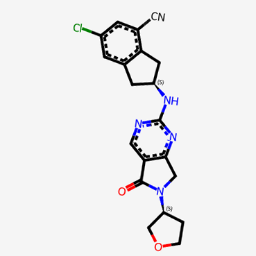 N#Cc1cc(Cl)cc2c1C[C@@H](Nc1ncc3c(n1)CN([C@H]1CCOC1)C3=O)C2